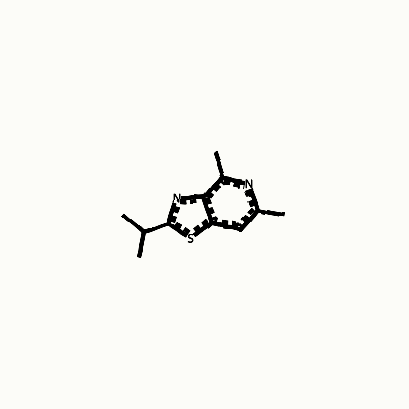 Cc1cc2sc(C(C)C)nc2c(C)n1